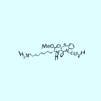 COC(=O)[C@H](CCCCCCCCN)N[C@H]1CSc2ccccc2N(CC(=O)O)C1=O